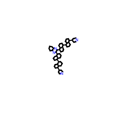 c1ccc2nc(-c3cccc4c(-c5cccc6c(-c7ccncc7)cccc56)cccc34)c(-c3cccc4c(-c5cccc6c(-c7ccncc7)cccc56)cccc34)nc2c1